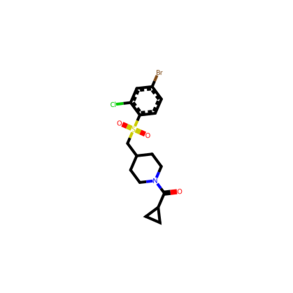 O=C(C1CC1)N1CCC(CS(=O)(=O)c2ccc(Br)cc2Cl)CC1